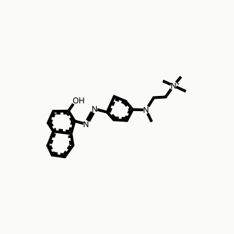 CN(CC[N+](C)(C)C)c1ccc(/N=N/c2c(O)ccc3ccccc23)cc1